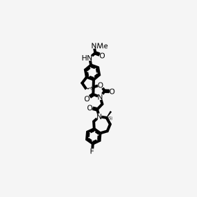 CNC(=O)Nc1ccc2c(c1)CC[C@@]21OC(=O)N(CC(=O)N2Cc3ccc(F)cc3CC[C@@H]2C)C1=O